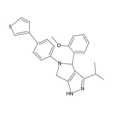 COc1ccccc1C1c2c(C(C)C)n[nH]c2CN1c1ccc(-c2ccsc2)cc1